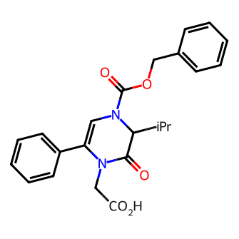 CC(C)C1C(=O)N(CC(=O)O)C(c2ccccc2)=CN1C(=O)OCc1ccccc1